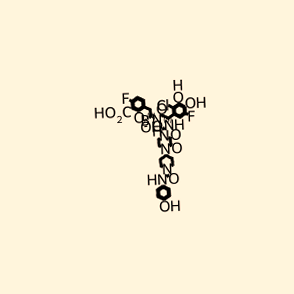 O=C(O)c1c(F)ccc2c1OB(O)[C@@H](NC(=O)[C@@H](NC(=O)N1CCN(C3CCN(C(=O)Nc4ccc(O)cc4)CC3)C(=O)C1=O)c1cc(F)c(O)c(O)c1Cl)C2